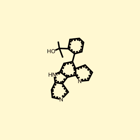 CC(C)(O)c1ccccc1-c1cc2[nH]c3ccncc3c2c2ncccc12